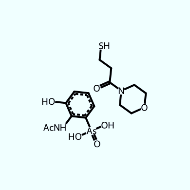 CC(=O)Nc1c(O)cccc1[As](=O)(O)O.O=C(CCS)N1CCOCC1